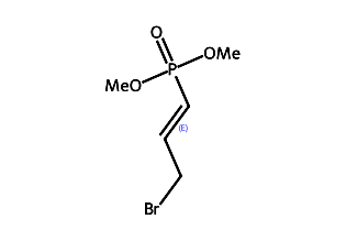 COP(=O)(/C=C/CBr)OC